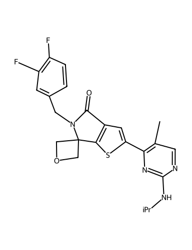 Cc1cnc(NC(C)C)nc1-c1cc2c(s1)C1(COC1)N(Cc1ccc(F)c(F)c1)C2=O